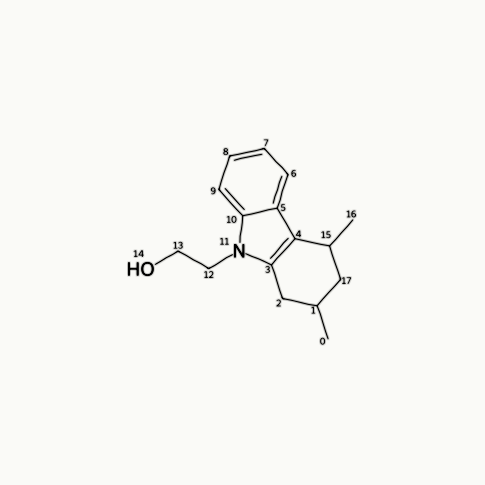 CC1Cc2c(c3ccccc3n2CCO)C(C)C1